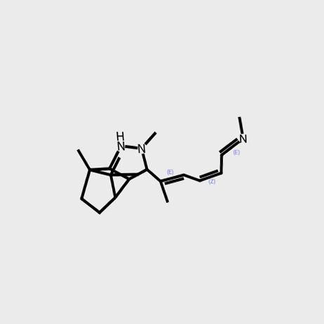 C/N=C/C=C\C=C(/C)C1C2C3CCC(C)(C2NN1C)C3(C)C